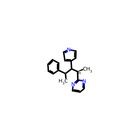 CC(c1ccccc1)C(c1ccncc1)[C@@H](C)c1ncccn1